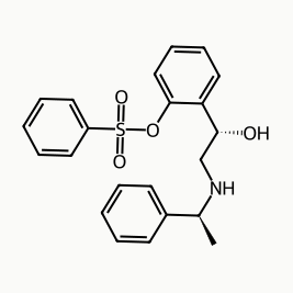 C[C@H](NC[C@@H](O)c1ccccc1OS(=O)(=O)c1ccccc1)c1ccccc1